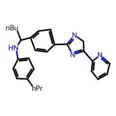 CCCCC(Nc1ccc(CCC)cc1)c1ccc(C2=NCC(c3ccccn3)=N2)cc1